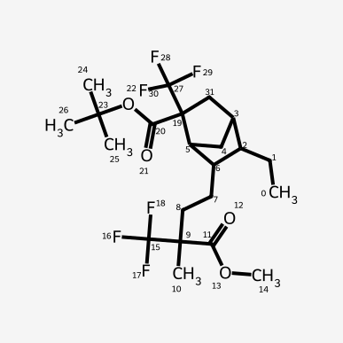 CCC1C2CC(C1CCC(C)(C(=O)OC)C(F)(F)F)C(C(=O)OC(C)(C)C)(C(F)(F)F)C2